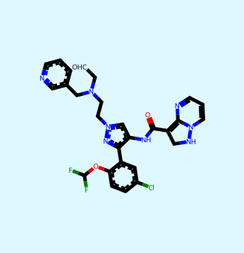 O=CCN(CCn1cc(NC(=O)C2=C3N=CC=CN3NC2)c(-c2cc(Cl)ccc2OC(F)F)n1)Cc1cccnc1